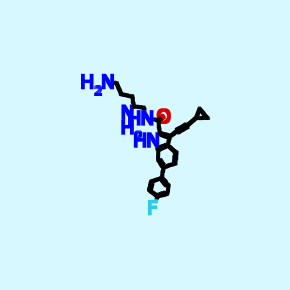 NCCC[C@H](N)CNC(=O)c1[nH]c2cc(-c3ccc(F)cc3)ccc2c1C#CC1CC1